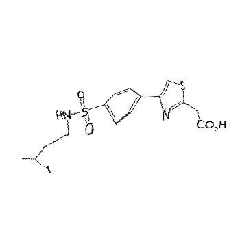 CC(I)CCNS(=O)(=O)c1ccc(-c2csc(CC(=O)O)n2)cc1